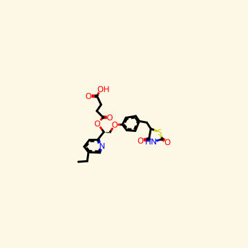 CCc1ccc([C@@H](COc2ccc(CC3SC(=O)NC3=O)cc2)OC(=O)CCC(=O)O)nc1